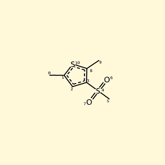 Cc1cc(S(C)(=O)=O)c(C)s1